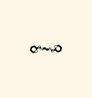 C(C=NOC1CCCCO1)=NOC1CCCCO1